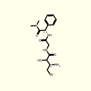 CC(C)C[C@H](N)C(O)C(=O)NCC(=O)N[C@H](C(=O)N(C)C)c1ccccc1